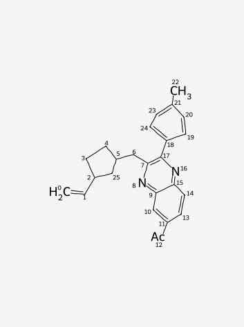 C=CC1CCC(Cc2nc3cc(C(C)=O)ccc3nc2-c2ccc(C)cc2)C1